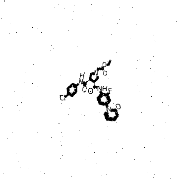 CCOC(=O)CN1C[C@H](C(=O)Nc2ccc(Cl)cc2)[C@@H](C(=O)Nc2ccc(-n3ccccc3=O)cc2F)C1